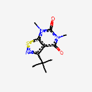 Cn1c(=O)c2c(C(C)(C)C)nsc2n(C)c1=O